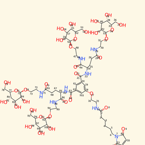 O=C(CCCCCN1C(=O)C=CC1=O)NCCOc1cc(C(=O)NC(CCC(=O)NCCO[C@@H]2OC(CO)[C@@H](O)C(O)C2O)C(=O)NCCO[C@@H]2OC(CO)[C@@H](O)C(O)C2O)cc(C(=O)NC(CCC(=O)NCCO[C@@H]2OC(CO)[C@@H](O)C(O)C2O)C(=O)NCCO[C@@H]2OC(CO)[C@@H](O)C(O)C2O)c1